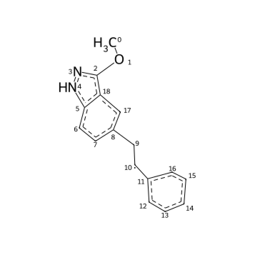 COc1n[nH]c2ccc(C[CH]c3ccccc3)cc12